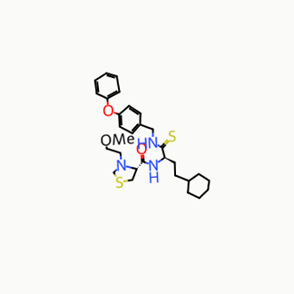 COCCN1CSC[C@H]1C(=O)N[C@H](CCC1CCCCC1)C(=S)NCc1ccc(Oc2ccccc2)cc1